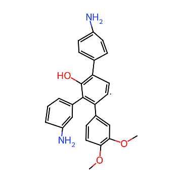 COc1ccc(-c2[c]cc(-c3ccc(N)cc3)c(O)c2-c2cccc(N)c2)cc1OC